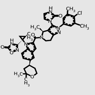 Cc1cc(-n2nc3c(c2-n2cc[nH]c2=O)[C@H](C)N(C(=O)c2cc4cc([C@H]5CCOC(C)(C)C5)ccc4n2[C@@]2(c4noc(=O)[nH]4)C[C@@H]2C)CC3)cc(C)c1Cl